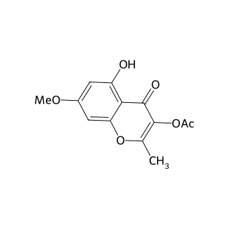 COc1cc(O)c2c(=O)c(OC(C)=O)c(C)oc2c1